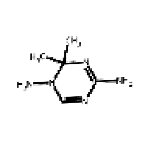 CC1(C)N=C(N)N=CN1N